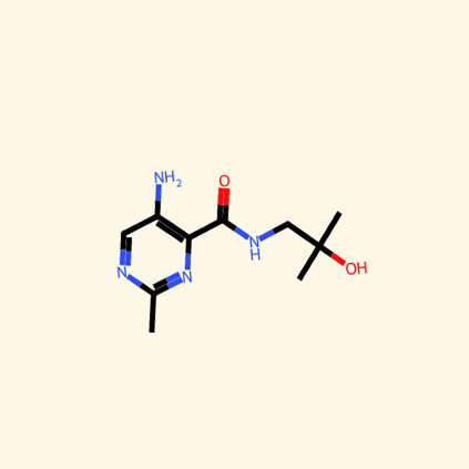 Cc1ncc(N)c(C(=O)NCC(C)(C)O)n1